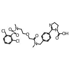 CN(Cc1ccc(C2=NCCN2C(=O)O)cc1)C(=O)COCCN(C)S(=O)(=O)c1c(Cl)cccc1Cl